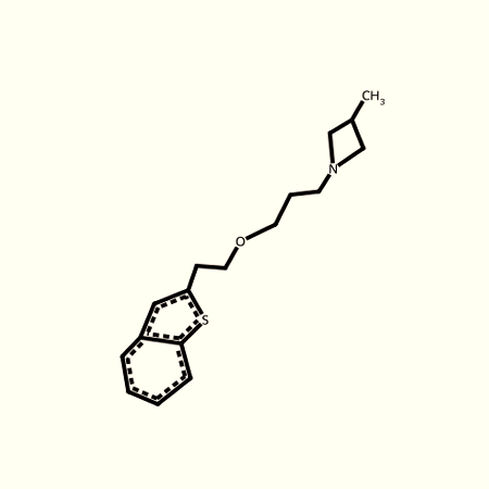 CC1CN(CCCOCCc2cc3ccccc3s2)C1